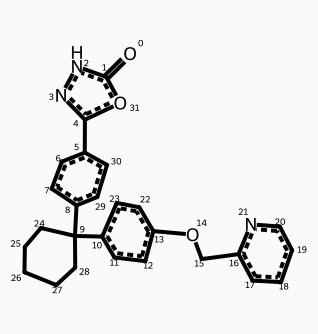 O=c1[nH]nc(-c2ccc(C3(c4ccc(OCc5ccccn5)cc4)CCCCC3)cc2)o1